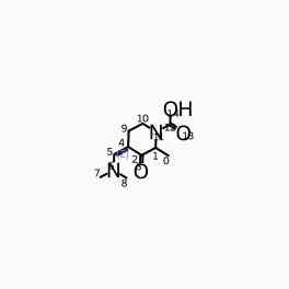 CC1C(=O)/C(=C\N(C)C)CCN1C(=O)O